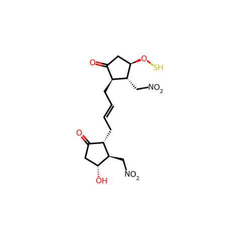 O=C1C[C@@H](O)[C@H](C[N+](=O)[O-])[C@H]1C/C=C/C[C@H]1C(=O)C[C@@H](OS)[C@@H]1C[N+](=O)[O-]